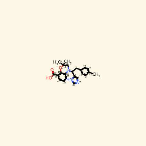 Cc1ccc(CC(c2cnc[nH]2)N2CC(C)(C)Oc3c(C(=O)O)cccc32)cc1